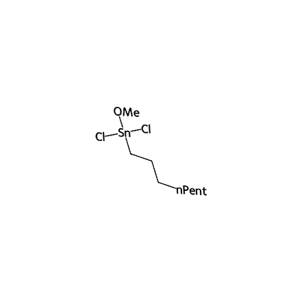 CCCCCCC[CH2][Sn]([Cl])([Cl])[O]C